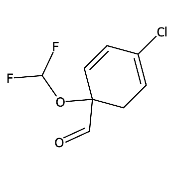 O=CC1(OC(F)F)C=CC(Cl)=CC1